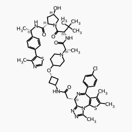 Cc1ncsc1-c1ccc([C@H](C)NC(=O)[C@@H]2C[C@@H](O)CN2C(=O)[C@@H](NC(=O)[C@H](C)N2CCC(O[C@H]3C[C@H](NC(=O)C[C@@H]4N=C(c5ccc(Cl)cc5)c5c(sc(C)c5C)-n5c(C)nnc54)C3)CC2)C(C)(C)C)cc1